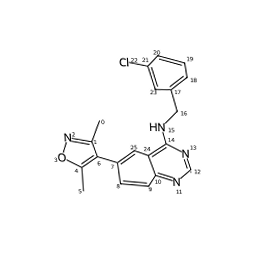 Cc1noc(C)c1-c1ccc2n[c]nc(NCc3cccc(Cl)c3)c2c1